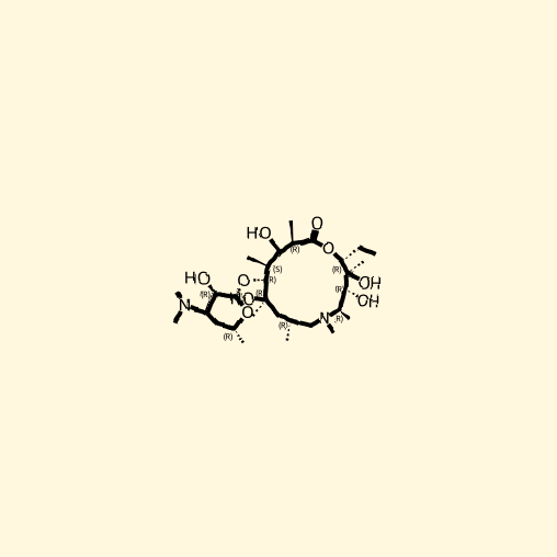 CC[C@H]1OC(=O)[C@H](C)C(O)[C@H](C)[C@@H](O[C@@H]2O[C@H](C)CC(N(C)C)[C@H]2O)[C@](C)(O)C[C@@H](C)CN(C)[C@H](C)[C@@H](O)[C@]1(C)O